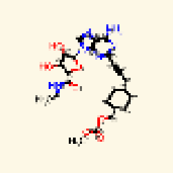 CCNC(=O)[C@H]1O[C@@H](n2cnc3c(N)nc(C#CC[C@H]4CC[C@H](COC(=O)OC)CC4)nc32)C(O)C1O